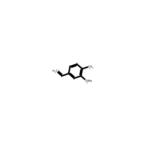 C=[C]c1ccc(C)c(OC)c1